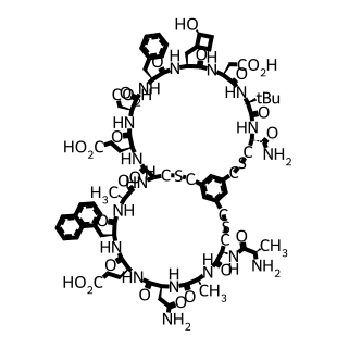 C[C@H](N)C(=O)N[C@H]1CSCc2cc3cc(c2)CSC[C@@H](NC(=O)[C@@H](C)NC(=O)[C@H](Cc2cccc4ccccc24)NC(=O)[C@H](CCC(=O)O)NC(=O)[C@H](CC(N)=O)NC(=O)[C@@H](C)NC1=O)C(=O)N[C@@H](CCC(=O)O)C(=O)N[C@@H](CC(=O)O)C(=O)N[C@@H](Cc1ccccc1)C(=O)N[C@@H](CC1CC[C@H]1O)C(=O)N[C@@H](CC(=O)O)C(=O)N[C@@H](C(C)(C)C)C(=O)N[C@H](C(N)=O)CSC3